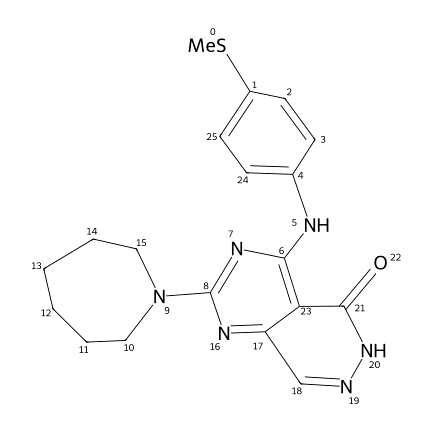 CSc1ccc(Nc2nc(N3CCCCCC3)nc3cn[nH]c(=O)c23)cc1